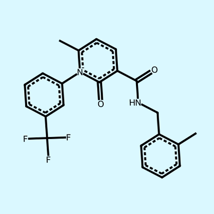 Cc1ccccc1CNC(=O)c1ccc(C)n(-c2cccc(C(F)(F)F)c2)c1=O